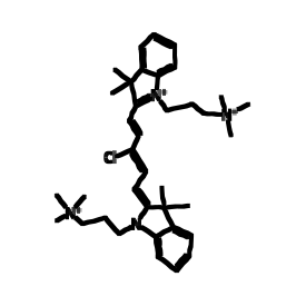 CC1(C)C(/C=C/C(Cl)=C/C=C2/N(CCC[N+](C)(C)C)c3ccccc3C2(C)C)=[N+](CCC[N+](C)(C)C)c2ccccc21